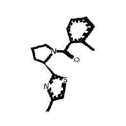 Cc1csc([C@H]2CCCN2C(=O)c2ccccc2C)n1